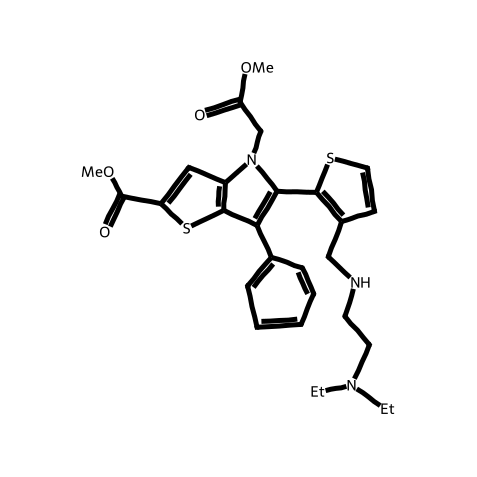 CCN(CC)CCNCc1ccsc1-c1c(-c2ccccc2)c2sc(C(=O)OC)cc2n1CC(=O)OC